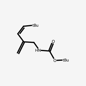 C=C(/C=C\C(C)(C)C)CNC(=O)OC(C)(C)C